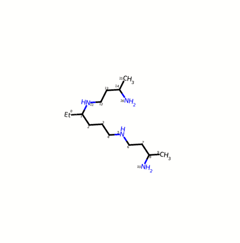 CCC(CCCNCCC(C)N)NCCC(C)N